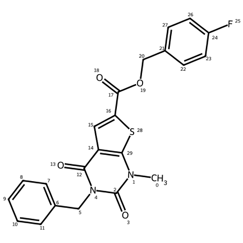 Cn1c(=O)n(Cc2ccccc2)c(=O)c2cc(C(=O)OCc3ccc(F)cc3)sc21